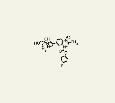 CC(=O)N1c2ccc(-c3cnn(C(C)(C)CO)c3)cc2N(C(=O)Oc2ccc(F)cc2)C[C@@H]1C